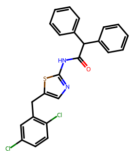 O=C(Nc1ncc(Cc2cc(Cl)ccc2Cl)s1)C(c1ccccc1)c1ccccc1